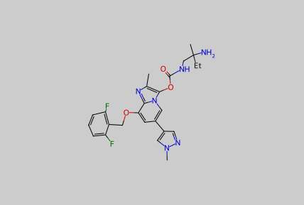 CCC(C)(N)CNC(=O)Oc1c(C)nc2c(OCc3c(F)cccc3F)cc(-c3cnn(C)c3)cn12